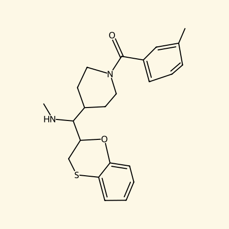 CNC(C1CCN(C(=O)c2cccc(C)c2)CC1)C1CSc2ccccc2O1